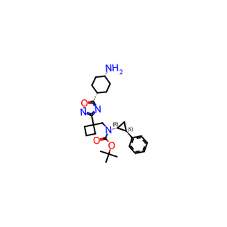 CC(C)(C)OC(=O)N(CC1(c2noc([C@H]3CC[C@@H](N)CC3)n2)CCC1)[C@@H]1C[C@H]1c1ccccc1